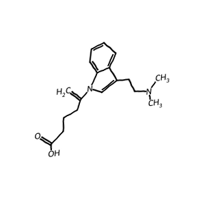 C=C(CCCC(=O)O)n1cc(CCN(C)C)c2ccccc21